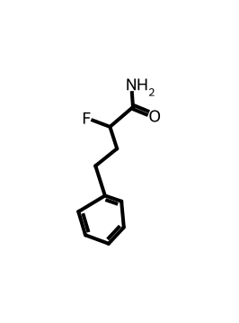 NC(=O)C(F)CCc1ccccc1